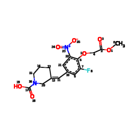 COC(=O)COc1c(F)cc(C=C2CCCN(C(=O)O)C2)cc1[N+](=O)[O-]